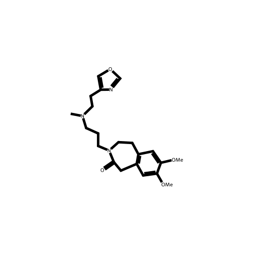 COc1cc2c(cc1OC)CC(=O)N(CCCN(C)CCc1cocn1)CC2